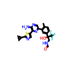 Cc1ccc(C(O)(CNC=O)C(F)(F)F)cc1-c1cnc(N)c(-c2cnc(C3CC3)s2)n1